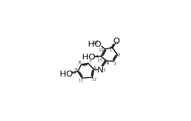 O=C1C=CC(=Nc2ccc(O)cc2)C(O)=C1O